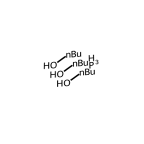 CCCCO.CCCCO.CCCCO.P